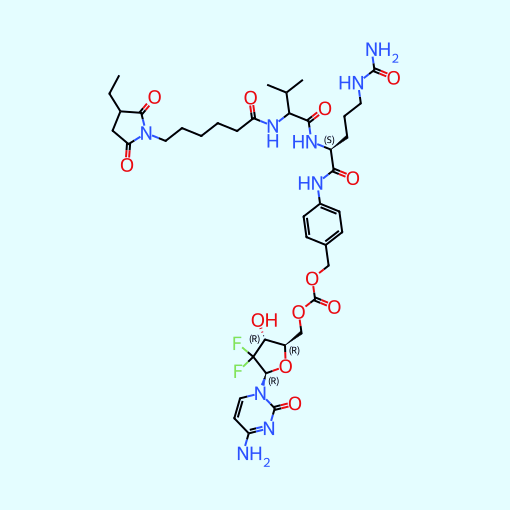 CCC1CC(=O)N(CCCCCC(=O)NC(C(=O)N[C@@H](CCCNC(N)=O)C(=O)Nc2ccc(COC(=O)OC[C@H]3O[C@@H](n4ccc(N)nc4=O)C(F)(F)[C@@H]3O)cc2)C(C)C)C1=O